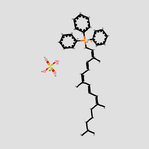 CC(C=CC=C(C)CCCC(C)C)=CC=CC(C)=CC[P+](c1ccccc1)(c1ccccc1)c1ccccc1.O=S(=O)([O-])O